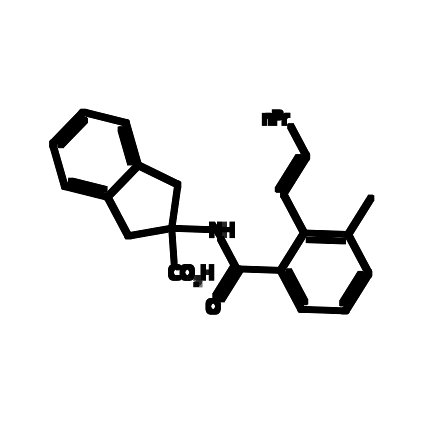 CCC/C=C/c1c(C)cccc1C(=O)NC1(C(=O)O)Cc2ccccc2C1